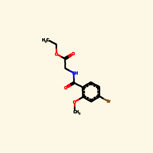 CCOC(=O)CNC(=O)c1ccc(Br)cc1OC